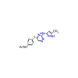 CC(=O)Nc1ccc(Sc2cnnc(Nc3cc(C)[nH]n3)n2)cc1